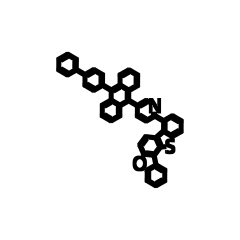 c1ccc(-c2ccc(-c3c4ccccc4c(-c4ccc(-c5cccc6sc7c(ccc8oc9ccccc9c87)c56)nc4)c4ccccc34)cc2)cc1